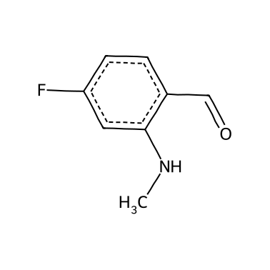 CNc1cc(F)ccc1C=O